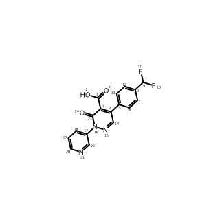 O=C(O)c1c(-c2ccc(C(F)F)cc2)cnn(-c2cccnc2)c1=O